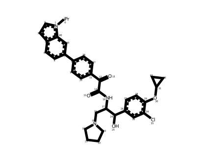 CC(C)n1ccc2ccc(-c3ccc(C(=O)C(=O)NC(CN4CCCC4)C(O)c4ccc(OC5CC5)c(Cl)c4)cc3)cc21